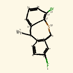 CC(C)C1c2ccc(F)cc2CSc2c(Br)cccc21